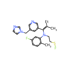 CC/C(C)=C(\c1cncc(Cn2ccnc2)c1)N(CCSF)c1cc(F)ccc1C